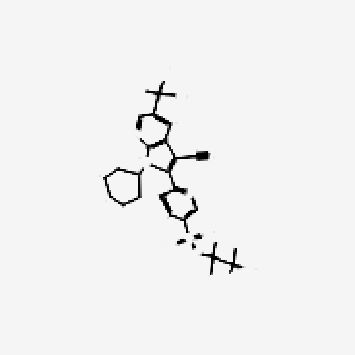 CC(C)(NS(=O)(=O)c1ccc(-c2c(C#N)c3cc(C(F)(F)F)cnc3n2C2CCCCC2)nc1)C(F)(F)F